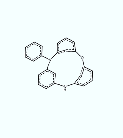 c1ccc(N2c3cccc(c3)Nc3cccc(c3)Oc3cccc2c3)cc1